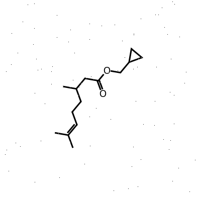 CC(C)=CCCC(C)CC(=O)OCC1CC1